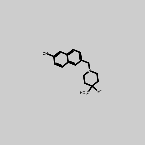 CCCC1(C(=O)O)CCN(Cc2ccc3cc(N=O)ccc3c2)CC1